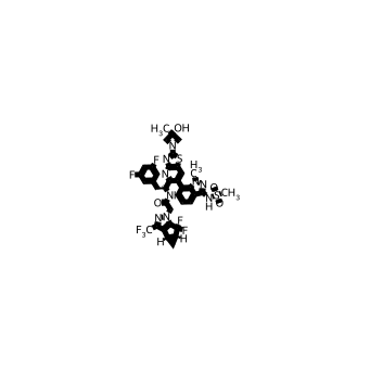 Cn1nc(NS(C)(=O)=O)c2cccc(-c3cc4sc(N5CC(C)(O)C5)nc4nc3[C@H](Cc3cc(F)cc(F)c3)NC(=O)Cn3nc(C(F)(F)F)c4c3C(F)(F)[C@@H]3C[C@H]43)c21